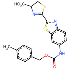 Cc1ccc(COC(=O)Nc2ccc3nc(C4=NC(C(=O)O)CS4)sc3c2)cc1